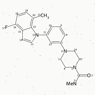 CNC(=O)N1CCN(c2cccc(-n3ccc4c(F)ccc(C)c43)c2)CC1